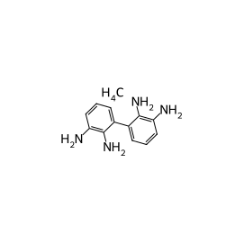 C.Nc1cccc(-c2cccc(N)c2N)c1N